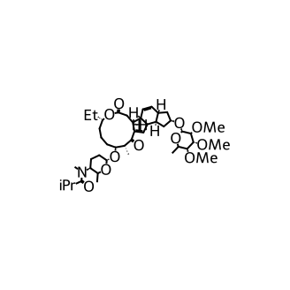 CC[C@H]1CCC[C@H](O[C@H]2CC[C@H](N(C)C(=O)C(C)C)C(C)O2)[C@@H](C)C(=O)C2=C[C@@H]3[C@@H](C=C[C@@H]4C[C@@H](O[C@@H]5OC(C)[C@H](OC)[C@@H](OC)C5OC)C[C@@H]34)[C@@H]2CC(=O)O1